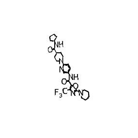 O=C(Nc1ccc(N2CCC(C(=O)NC3CCCC3)CC2)nc1)c1oc(N2CCCCC2)nc1C(F)(F)F